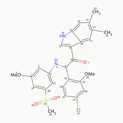 COc1cc(NC(C(=O)c2c[nH]c3cc(C)c(C)cc23)c2ccc(Cl)cc2OC)cc(S(C)(=O)=O)c1